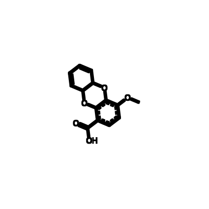 COc1ccc(C(=O)O)c2c1OC1C=CC=CC1O2